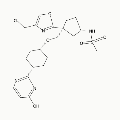 CS(=O)(=O)N[C@H]1CC[C@](CO[C@H]2CC[C@@H](c3nccc(O)n3)CC2)(c2nc(CCl)co2)C1